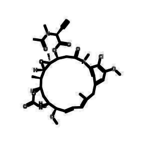 C#C[C@@H](C(=O)O[C@H]1CC(=O)N(C)c2cc(cc(OC)c2Cl)C/C(C)=C/C=C/[C@@H](OC)[C@@]2(O)C[C@H](OC(=O)N2)[C@@H](C)[C@@H]2O[C@@]12C)N(C)C(C)=O